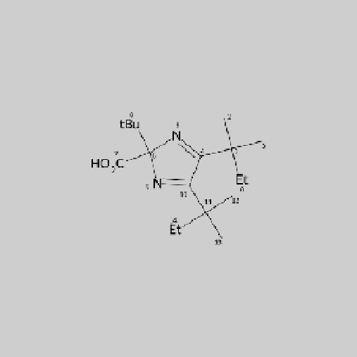 CCC(C)(C)C1=NC(C(=O)O)(C(C)(C)C)N=C1C(C)(C)CC